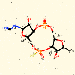 C[C@@H]1O[C@@H]2CO[PH](=O)OC3C(O)[C@H](NC=N)O[C@@H]3CO[P@](=O)(S)O[C@@H]2C1O